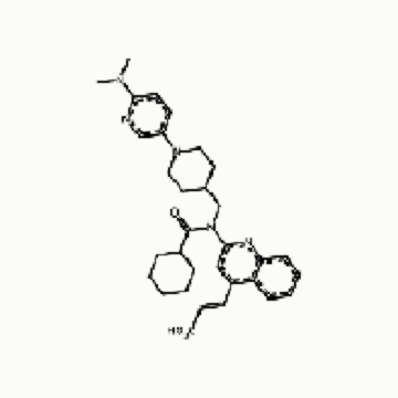 CN(C)c1ccc(N2CCC(CN(C(=O)C3CCCCC3)c3cc(C=CC(=O)O)c4ccccc4n3)CC2)cn1